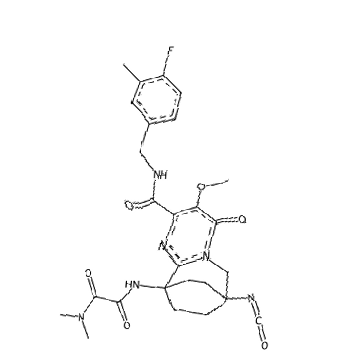 COc1c(C(=O)NCc2ccc(F)c(C)c2)nc2n(c1=O)CC1(N=C=O)CCC2(NC(=O)C(=O)N(C)C)CC1